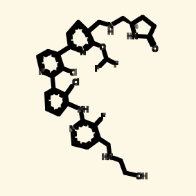 O=C1CC[C@H](CNCc2ccc(-c3ccnc(-c4cccc(Nc5nccc(CNCCO)c5F)c4Cl)c3Cl)nc2OC(F)F)N1